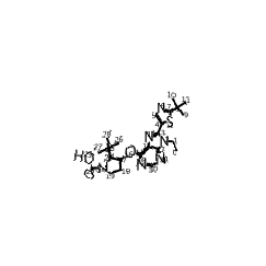 CCn1c(-c2cnc(C(C)(C)C)s2)nc2c(OC3CCN(C(=O)O)C3C(C)(C)C)ncnc21